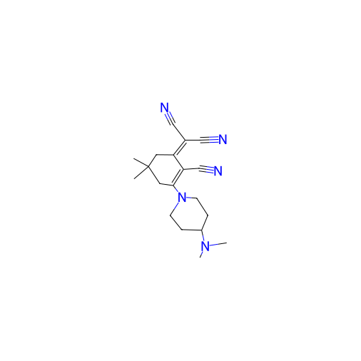 CN(C)C1CCN(C2=C(C#N)C(=C(C#N)C#N)CC(C)(C)C2)CC1